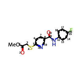 COC(=O)CSc1ccc(C(=O)Nc2ccc(F)cc2)cn1